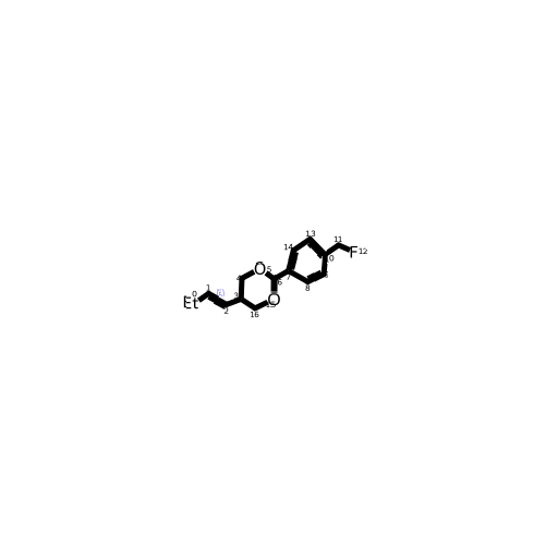 CC/C=C/C1COC(c2ccc(CF)cc2)OC1